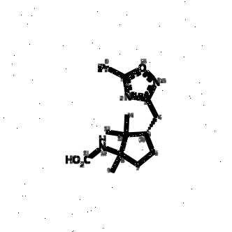 CC(C)c1nc(C[C@@H]2CCC(C)(NC(=O)O)C2(C)C)no1